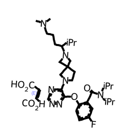 CC(C)C(CCCN(C)C)N1CC2(CCN(c3ncnnc3Oc3ccc(F)cc3C(=O)N(C(C)C)C(C)C)C2)C1.O=C(O)/C=C/C(=O)O